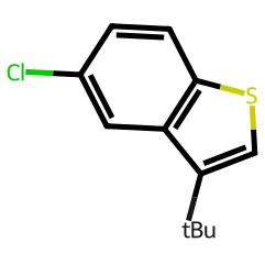 CC(C)(C)c1csc2ccc(Cl)cc12